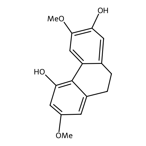 COc1cc(O)c2c(c1)CCc1cc(O)c(OC)cc1-2